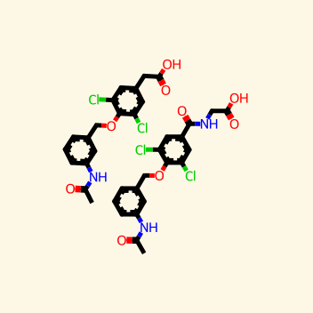 CC(=O)Nc1cccc(COc2c(Cl)cc(C(=O)NCC(=O)O)cc2Cl)c1.CC(=O)Nc1cccc(COc2c(Cl)cc(CC(=O)O)cc2Cl)c1